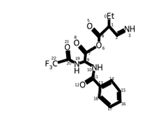 CCC(C=N)C(=O)OC(=O)C(NC(=O)c1ccccc1)NC(=O)C(F)(F)F